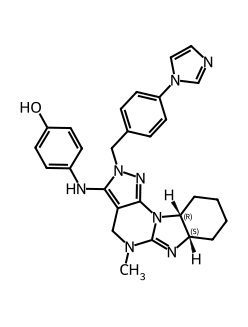 CN1Cc2c(nn(Cc3ccc(-n4ccnc4)cc3)c2Nc2ccc(O)cc2)N2C1=N[C@H]1CCCC[C@H]12